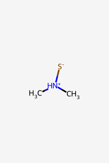 C[NH+](C)[S-]